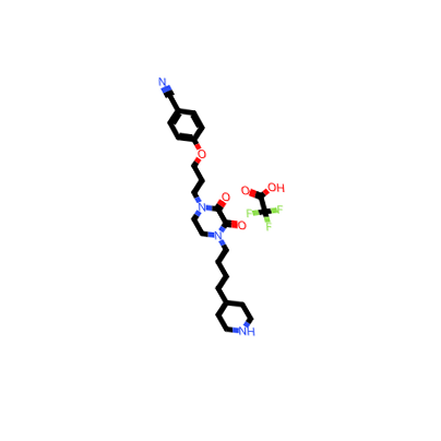 N#Cc1ccc(OCCCN2CCN(CCCCC3CCNCC3)C(=O)C2=O)cc1.O=C(O)C(F)(F)F